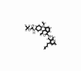 C=CCCc1cc(C)nc(C)c1CNC(=O)c1cccc(N(CC)[C@H]2CC[C@@H](NC(=O)OC(C)(C)C)CC2)c1CC=C